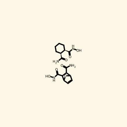 NC(=O)C1C2C=CC(O2)C1C(=O)NO.NC(=O)[C@H]1CCCC[C@H]1C(=O)NO